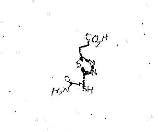 NC(=O)N(S)c1nnc(CCC(=O)O)s1